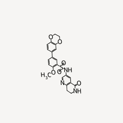 COc1ccc(-c2ccc3c(c2)OCCO3)cc1S(=O)(=O)Nc1cnc2c(c1)C(=O)NCC2